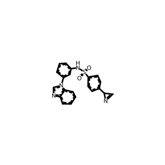 O=S(=O)(Nc1cccc(-n2cnc3ccccc32)c1)c1ccc(C2C=N2)cc1